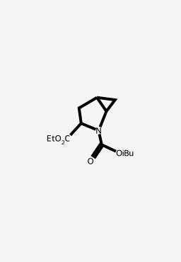 CCOC(=O)C1CC2CC2N1C(=O)OCC(C)C